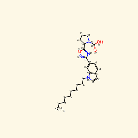 CCCCCCCCCCn1ccc2ccc(-c3noc(C4CCCN4C(=O)O)n3)cc21